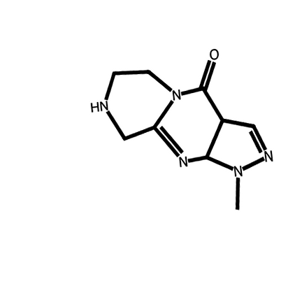 CN1N=CC2C(=O)N3CCNCC3=NC21